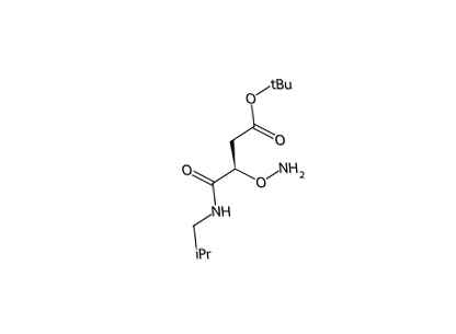 CC(C)CNC(=O)[C@@H](CC(=O)OC(C)(C)C)ON